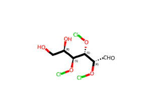 O=C[C@H](OCl)[C@@H](OCl)[C@@H](OCl)[C@H](O)CO